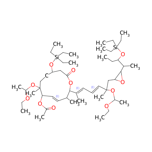 CCOC(C)OC(C)(/C=C/C=C(\C)C1OC(=O)CC(O[Si](CC)(CC)CC)CCC(C)(OC(C)OCC)C(OC(C)=O)/C=C/C1C)CC1OC1C(C)C(CC)O[Si](CC)(CC)CC